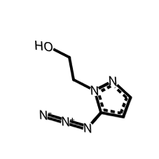 [N-]=[N+]=Nc1ccnn1CCO